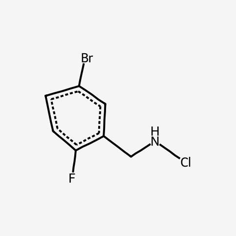 Fc1ccc(Br)cc1CNCl